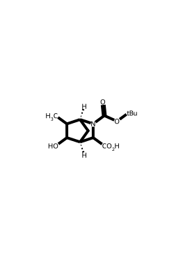 CC1C(O)[C@H]2C[C@@H]1N(C(=O)OC(C)(C)C)C2C(=O)O